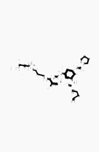 CC(C)(C(N)=O)C(=O)NCCCNc1nc(Nc2cc(NC(=O)[C@@H]3CCC(=O)O3)cc(NC(=O)N3CCCC3)c2)ncc1Br